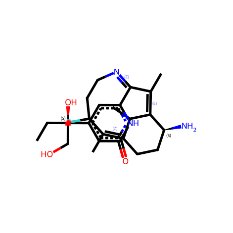 CC[C@@](O)(CO)c1cc(C2=N\CCC(F)/C(C)=C3/CC[C@H](N)\C(=C\2C)C3C)[nH]c(=O)c1